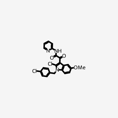 COc1ccc2c(c1)c(C(=O)C(=O)Nc1ccccn1)c(Cl)n2Cc1ccc(Cl)cc1